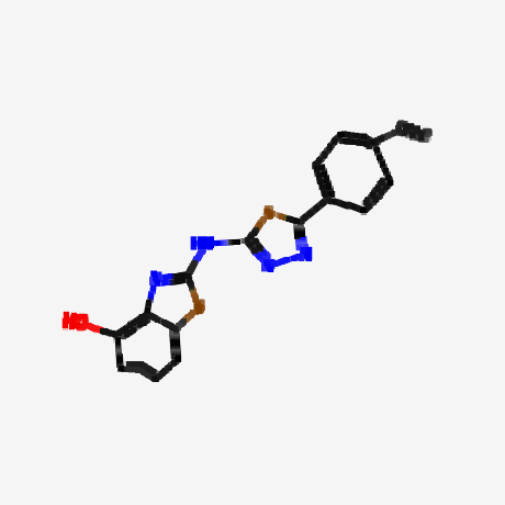 COc1ccc(-c2nnc(Nc3nc4c(O)cccc4s3)s2)cc1